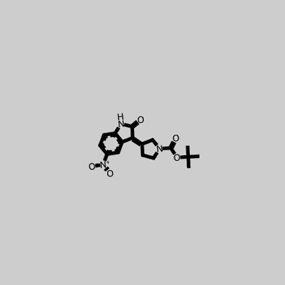 CC(C)(C)OC(=O)N1CC/C(=C2/C(=O)Nc3ccc([N+](=O)[O-])cc32)C1